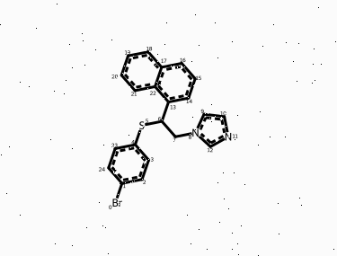 Brc1ccc(SC(Cn2ccnc2)c2cccc3ccccc23)cc1